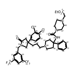 CCOC(=O)CN1CCN(C(=O)NC2(c3ccccc3)CCN(CCCC3(c4ccc(Cl)c(Cl)c4)CC(=O)N(Cc4cc(C(F)(F)F)cc(C(F)(F)F)c4)C3)CC2)CC1